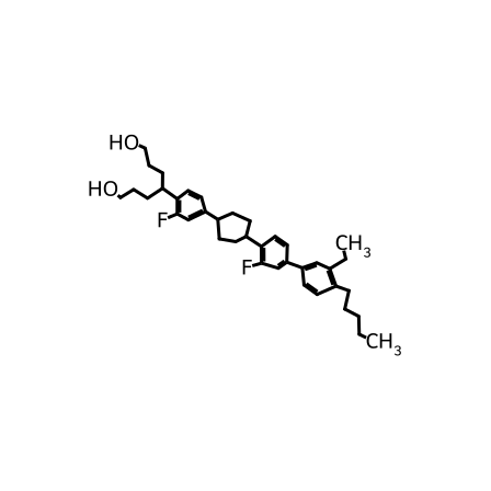 CCCCCc1ccc(-c2ccc(C3CCC(c4ccc(C(CCCO)CCCO)c(F)c4)CC3)c(F)c2)cc1CC